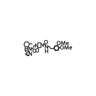 COc1ccc(CCNC(=O)N2CCN([C@@H](CC3CCCCC3)C(=O)Nc3nccs3)C(=O)C2)cc1OC